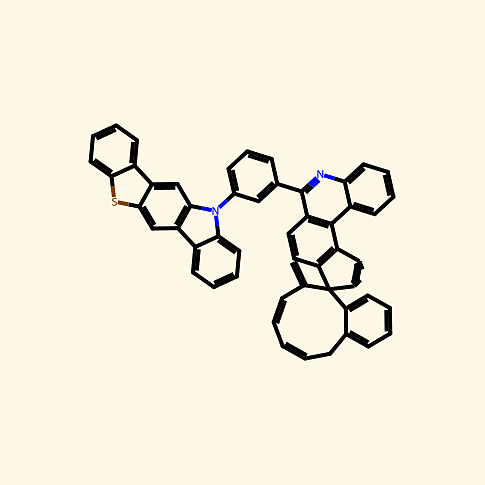 C=C1/C=C\C=C/Cc2ccccc2C12c1ccccc1-c1c2ccc2c(-c3cccc(-n4c5ccccc5c5cc6sc7ccccc7c6cc54)c3)nc3ccccc3c12